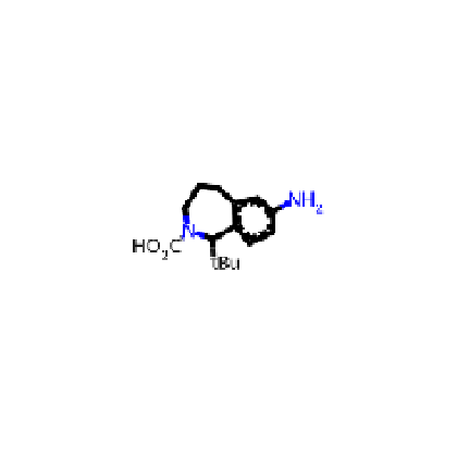 CC(C)(C)C1c2ccc(N)cc2CCCN1C(=O)O